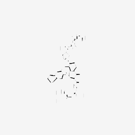 CC(C)CC(C)(C)CNC(=O)c1cn2c3c(c(N4CCC(NC(=O)OC(C)(C)C)C4)c(F)cc3c1=O)Oc1cc3ccccc3cc1-2